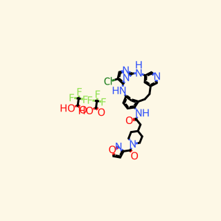 O=C(CC1CCN(C(=O)c2ccon2)CC1)Nc1ccc2cc1CCc1cncc(c1)Nc1ncc(Cl)c(n1)N2.O=C(O)C(F)(F)F.O=C(O)C(F)(F)F